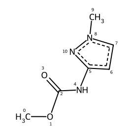 COC(=O)Nc1ccn(C)n1